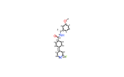 COc1cccc([C@@H](C)NC(=O)c2ccc(-c3ccnc(F)c3)cc2)c1